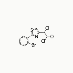 O=C(Cl)C(Cl)c1csc(-c2ccccc2Br)n1